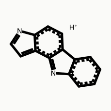 C1=Nc2ccc3c(c2=C1)=Nc1ccccc1-3.[H+]